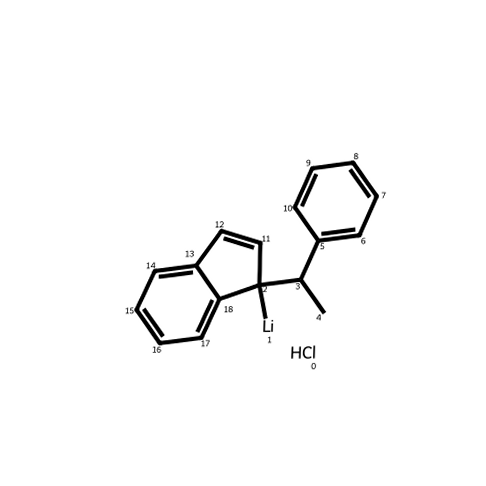 Cl.[Li][C]1(C(C)c2ccccc2)C=Cc2ccccc21